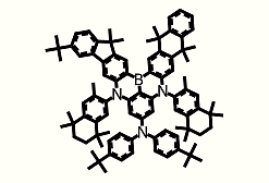 Cc1cc2c(cc1N1c3cc4c(cc3B3c5cc6c(cc5N(c5cc7c(cc5C)C(C)(C)CCC7(C)C)c5cc(N(c7ccc(C(C)(C)C)cc7)c7ccc(C(C)(C)C)cc7)cc1c53)C(C)(C)c1ccccc1C6(C)C)C(C)(C)c1ccc(C(C)(C)C)cc1-4)C(C)(C)CCC2(C)C